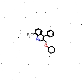 FC(F)(F)c1cccc2c(-c3ccccc3)c(COC3CCCCC3)cnc12